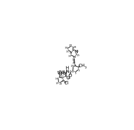 Cc1ccc(C(=O)NN(C(=O)c2c(C)cccc2Cl)C(C)(C)C)cc1C#Cc1cnc2ccccc2c1